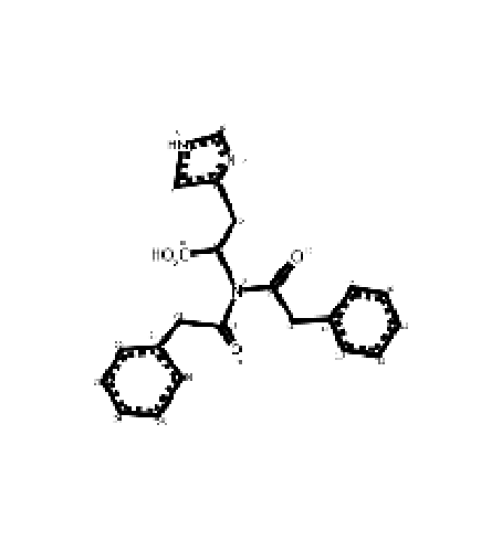 O=C(O)C(Cc1c[nH]cn1)N(C(=O)Cc1ccccc1)C(=O)Cc1ccccc1